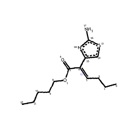 CCC/C=C(/C(=O)OCCCCC)c1csc(N)n1